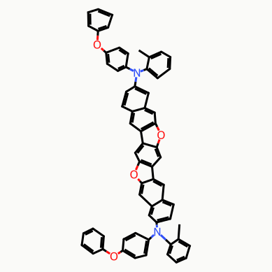 Cc1ccccc1N(c1ccc(Oc2ccccc2)cc1)c1ccc2cc3c(cc2c1)oc1cc2c(cc13)oc1cc3cc(N(c4ccc(Oc5ccccc5)cc4)c4ccccc4C)ccc3cc12